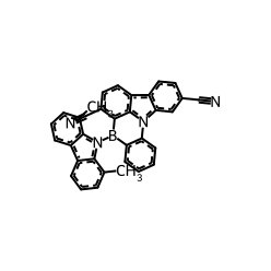 Cc1cccc2c3cccc(C)c3n(B3c4ccccc4-n4c5cc(C#N)ccc5c5ccc(C#N)c3c54)c12